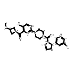 COC1CN(C(=O)c2nc(N3CCN(C(=O)N4N=CC[C@H]4c4cncc(F)c4)CC3)ncc2Cl)C1